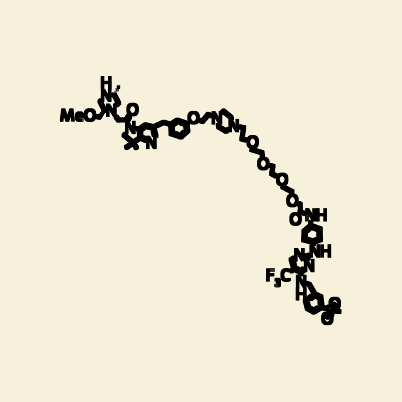 COC[C@H]1CN[C@H](C)CN1CC(=O)N1CC(C)(C)c2ncc(Cc3cccc(OCCN4CCN(CCOCCOCCOCCOCC(=O)Nc5ccc(Nc6ncc(C(F)(F)F)c(NCc7cccc(S(C)(=O)=O)c7)n6)cc5)CC4)c3)cc21